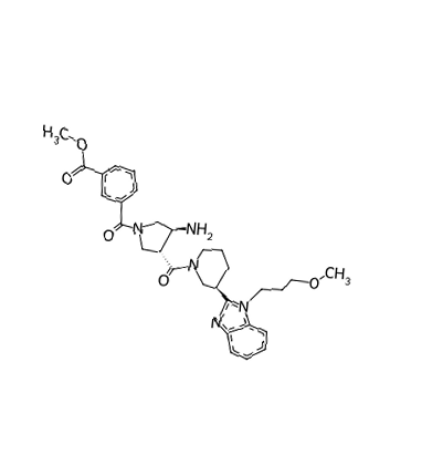 COCCCn1c([C@@H]2CCCN(C(=O)[C@@H]3CN(C(=O)c4cccc(C(=O)OC)c4)C[C@H]3N)C2)nc2ccccc21